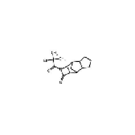 CCC(C)(C)C(=O)N1C(=O)C2C3CC(C4CCCC43)C21